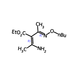 CCCCO/N=C(C)/C(C(=O)OCC)=C(/C)N